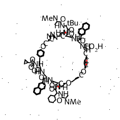 CN[C@@H](C)C(=O)N[C@H](C(=O)N1C[C@@H]2C[C@H]1C(=O)N[C@@H](Cc1ccc3ccccc3c1)C(=O)N[C@H](C(=O)NS(=O)(=O)C1CC1)Cc1ccc(cc1)OCc1cn(nn1)[C@H]1C[C@@H](C(=O)N[C@@H](Cc3ccc4ccccc4c3)C(=O)N[C@H](C(=O)O)Cc3ccc(cc3)OC/C=C/CO2)N(C(=O)[C@@H](NC(=O)[C@H](C)NC)C(C)(C)C)C1)C1CCCCC1